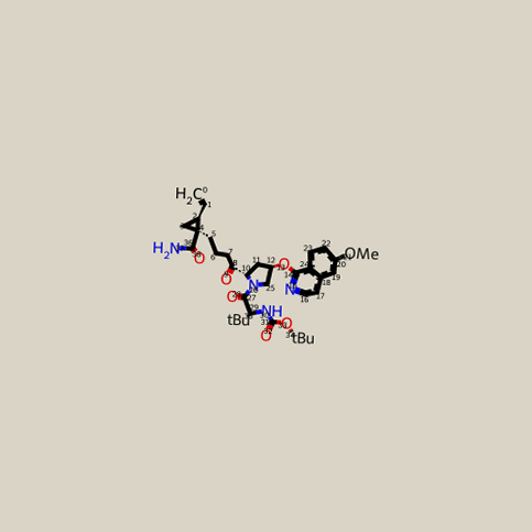 C=C[C@@H]1C[C@]1(CCCC(=O)[C@@H]1C[C@@H](Oc2nccc3cc(OC)ccc23)CN1C(=O)[C@@H](NC(=O)OC(C)(C)C)C(C)(C)C)C(N)=O